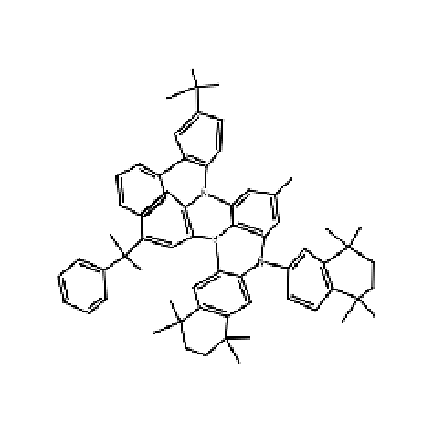 Cc1cc2c3c(c1)N(c1ccc(C(C)(C)C)cc1-c1ccccc1)c1ccc(C(C)(C)c4ccccc4)cc1B3c1cc3c(cc1N2c1ccc2c(c1)C(C)(C)CCC2(C)C)C(C)(C)CCC3(C)C